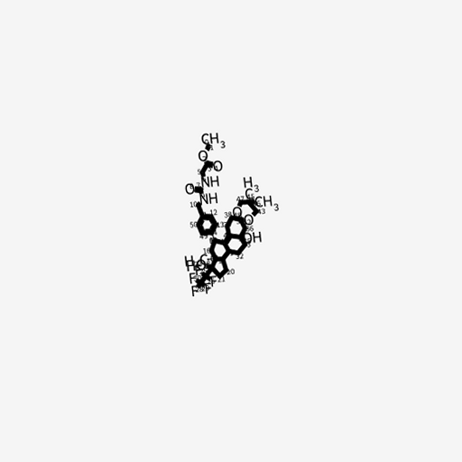 CCOC(=O)CNC(=O)NCc1ccc([C@H]2C[C@@]3(C)C(CCC3(O)C(F)(F)C(F)(F)F)C3CCC4(O)CC5(CCC4=C32)OCC(C)(C)CO5)cc1